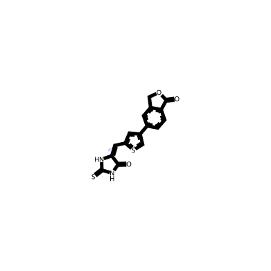 O=C1NC(=S)N/C1=C/c1cc(-c2ccc3c(c2)COC3=O)cs1